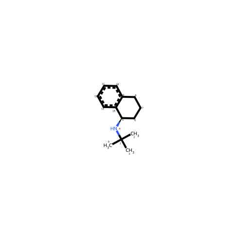 CC(C)(C)N[C@@H]1CCCc2ccccc21